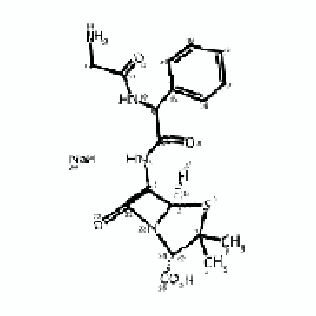 CC1(C)S[C@@H]2C(NC(=O)C(NC(=O)CN)c3ccccc3)C(=O)N2[C@H]1C(=O)O.[NaH]